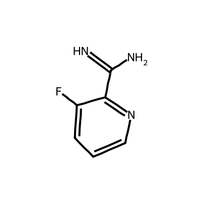 N=C(N)c1ncccc1F